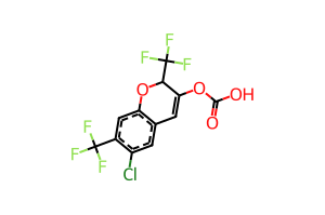 O=C(O)OC1=Cc2cc(Cl)c(C(F)(F)F)cc2OC1C(F)(F)F